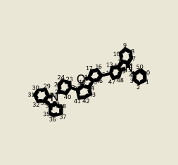 c1cccc(-n2c3ccccc3c3cc(-c4ccc5oc6c(-c7cccc(-n8c9ccccc9c9ccccc98)c7)cccc6c5c4)ccc32)c#1